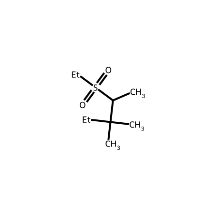 CCC(C)(C)C(C)S(=O)(=O)CC